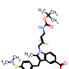 Cc1c(Cc2ccc(SN(C)C)cc2)c2cc(C(=O)O)ccc2n1C/C(F)=C/CNC(=O)OC(C)(C)C